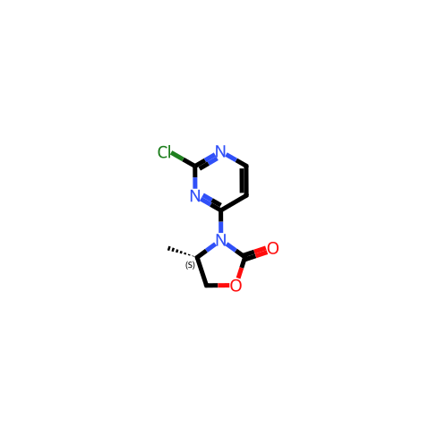 C[C@H]1COC(=O)N1c1ccnc(Cl)n1